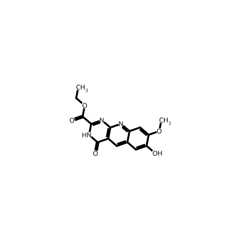 CCOC(=O)c1nc2nc3cc(OC)c(O)cc3cc2c(=O)[nH]1